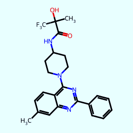 Cc1ccc2c(N3CCC(NC(=O)C(C)(O)C(F)(F)F)CC3)nc(-c3ccccc3)nc2c1